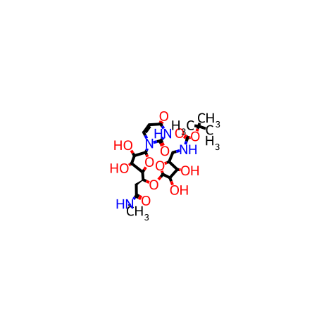 CNC(=O)C[C@H](OC1OC(CNC(=O)OC(C)(C)C)C(O)C1O)C1OC(n2ccc(=O)[nH]c2=O)C(O)C1O